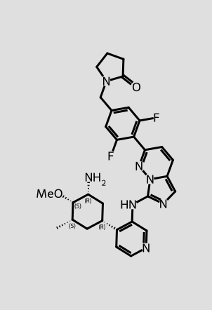 CO[C@@H]1[C@H](N)C[C@H](c2ccncc2Nc2ncc3ccc(-c4c(F)cc(CN5CCCC5=O)cc4F)nn23)C[C@@H]1C